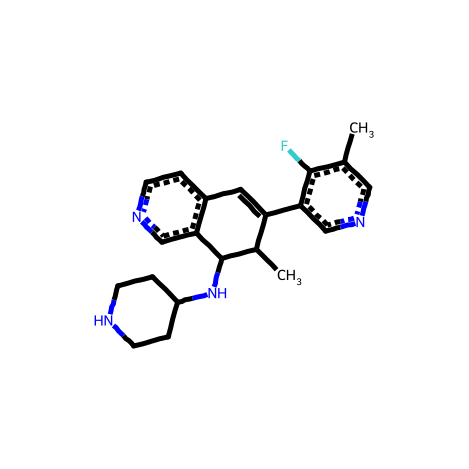 Cc1cncc(C2=Cc3ccncc3C(NC3CCNCC3)C2C)c1F